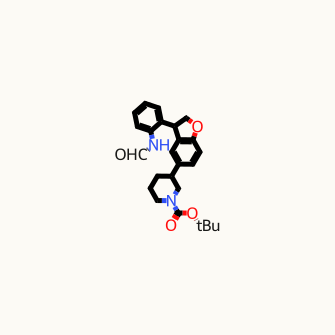 CC(C)(C)OC(=O)N1CCCC(c2ccc3c(c2)C(c2ccccc2NC=O)CO3)C1